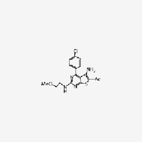 COCCNc1nc(-c2ccc(Cl)cc2)c2c(N)c(C(C)=O)sc2n1